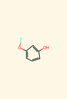 Oc1cccc(OF)c1